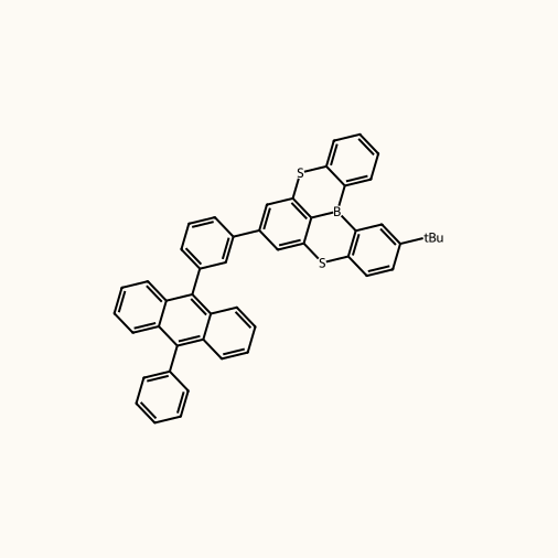 CC(C)(C)c1ccc2c(c1)B1c3ccccc3Sc3cc(-c4cccc(-c5c6ccccc6c(-c6ccccc6)c6ccccc56)c4)cc(c31)S2